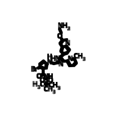 Cc1cccc(-c2nc(CNc3ccc(Br)c(C(=O)NS(=O)(=O)C(C)(C)C)c3)[nH]c2-c2ccc3ncc(OCCN)cc3c2)n1